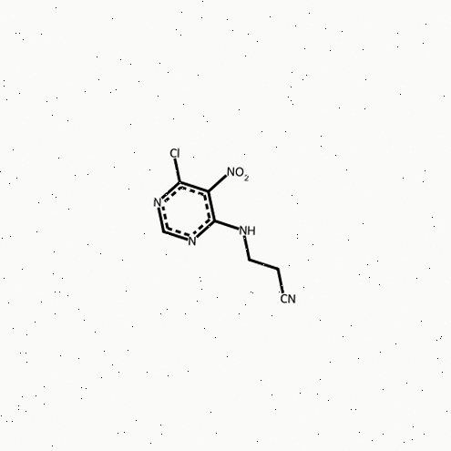 N#CCCNc1ncnc(Cl)c1[N+](=O)[O-]